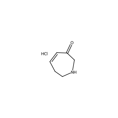 Cl.O=C1C=CCCNC1